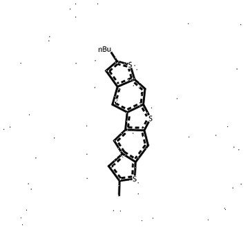 CCCCc1cc2cc3c(cc2s1)sc1cc2sc(C)cc2cc13